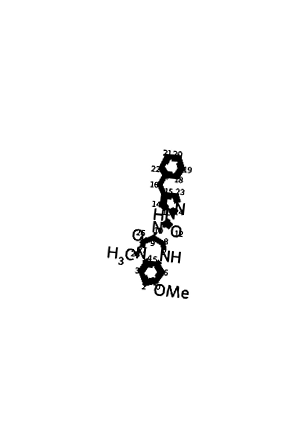 COc1ccc2c(c1)NC[C@H](NC(=O)n1cc(Cc3ccccc3)cn1)C(=O)N2C